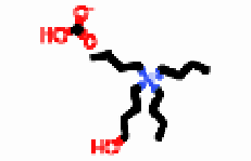 CCCC[N+](CCCC)(CCCC)CCCCO.O=C([O-])O